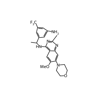 COc1cc2c(NC(C)c3cc(N)cc(C(F)(F)F)c3)nc(C)nc2cc1N1CCOCC1